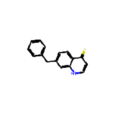 S=c1cc[nH]c2cc(Cc3ccccc3)ccc12